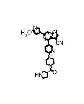 Cn1cc(-c2cn3ncc(C#N)c3c(-c3ccc(N4CCN(C(=O)[C@H]5CCNC5)CC4)nc3)n2)cn1